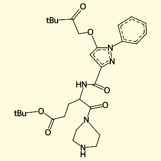 CC(C)(C)OC(=O)CCC(NC(=O)c1cc(OCC(=O)C(C)(C)C)n(-c2ccccc2)n1)C(=O)N1CCNCC1